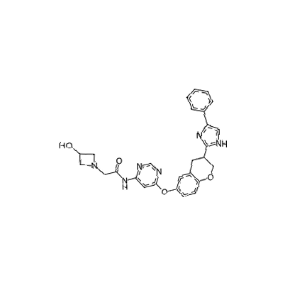 O=C(CN1CC(O)C1)Nc1cc(Oc2ccc3c(c2)CC(c2nc(-c4ccccc4)c[nH]2)CO3)ncn1